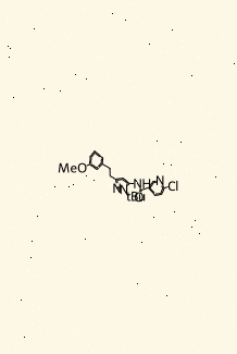 COc1cccc(CCc2cc(NC(=O)c3ccc(Cl)nc3)n(C(C)(C)C)n2)c1